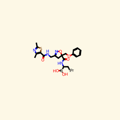 Cc1nc(C)c(C(=O)NCC2=NOC(COc3ccccc3)(C(=O)NC(CC(C)C)B(O)O)C2)s1